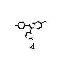 CCc1ccn2c(-c3ccnc(NC4CC4)n3)c(-c3ccc(F)cc3)nc2c1